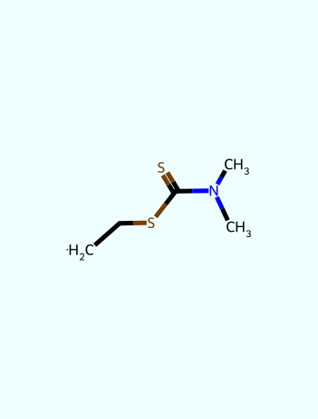 [CH2]CSC(=S)N(C)C